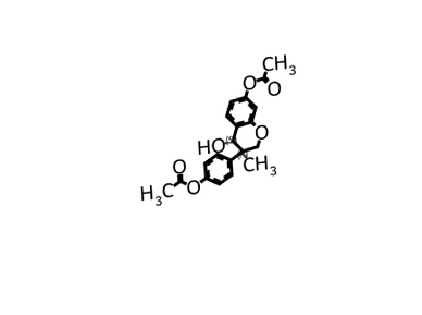 CC(=O)Oc1ccc([C@]2(C)COc3cc(OC(C)=O)ccc3[C@H]2O)cc1